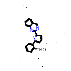 O=Cc1ccccc1-c1cccc(-c2ncc3ccccc3n2)n1